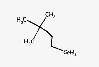 CC(C)(C)C[CH2][GeH3]